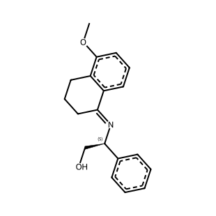 COc1cccc2c1CCCC2=N[C@H](CO)c1ccccc1